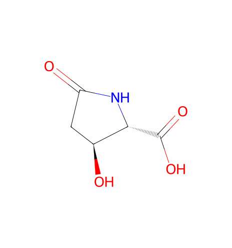 O=C1C[C@H](O)[C@@H](C(=O)O)N1